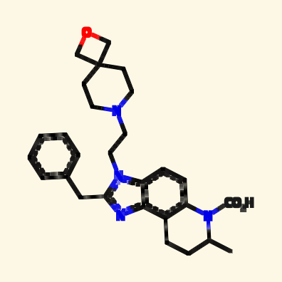 CC1CCc2c(ccc3c2nc(Cc2ccccc2)n3CCN2CCC3(CC2)COC3)N1C(=O)O